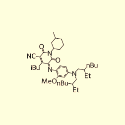 CCCCC(CC)CN(CC(CC)CCCC)c1ccc(N=C2C(=O)N(C3CCCC(C)C3)C(=O)C(C#N)=C2C(C)CC)c(OC)c1